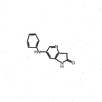 O=C1Cc2ncc(Nc3ccccc3)cc2N1